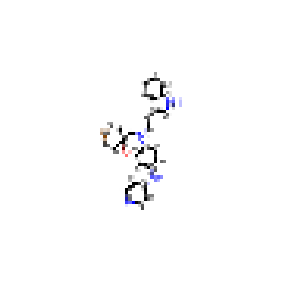 c1ccc2c(CCN3CC4(CCSCC4)Oc4cc(Nc5ccncc5)ccc43)c[nH]c2c1